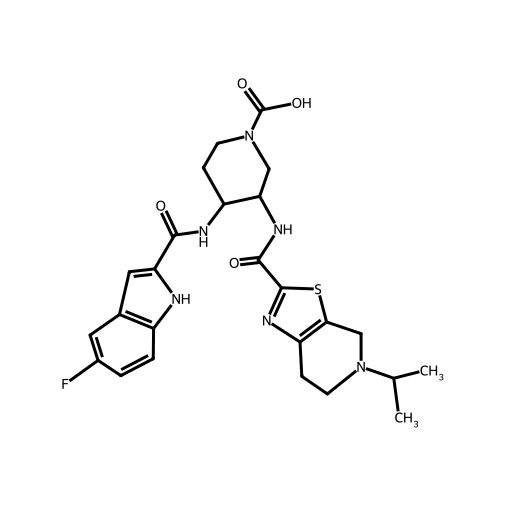 CC(C)N1CCc2nc(C(=O)NC3CN(C(=O)O)CCC3NC(=O)c3cc4cc(F)ccc4[nH]3)sc2C1